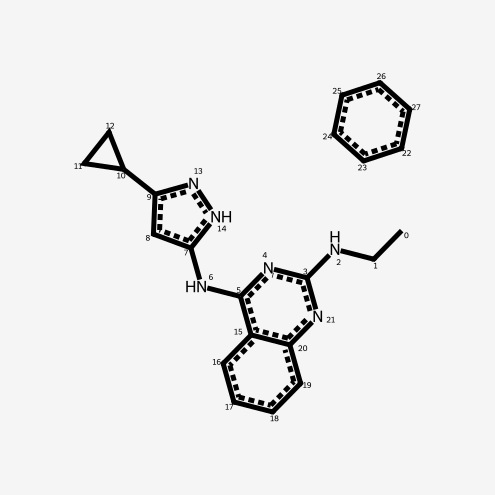 CCNc1nc(Nc2cc(C3CC3)n[nH]2)c2ccccc2n1.c1ccccc1